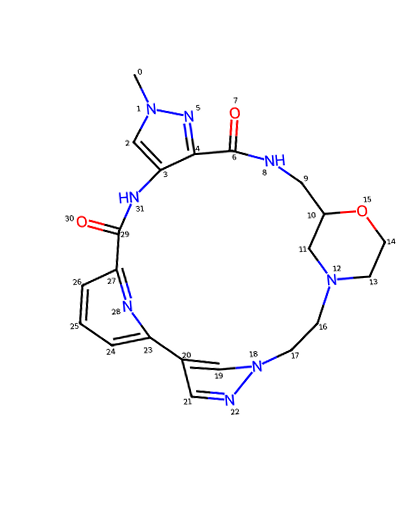 Cn1cc2c(n1)C(=O)NCC1CN(CCO1)CCn1cc(cn1)-c1cccc(n1)C(=O)N2